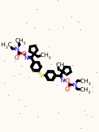 CCN(CC)C(=O)O/N=C(/c1ccc(Sc2ccc(/C(=N/OC(=O)N(CC)CC)C3(CC)CCCC3)cc2)cc1)C1(CC)CCCC1